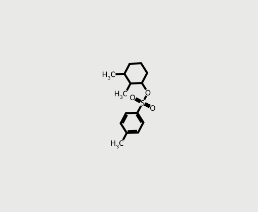 Cc1ccc(S(=O)(=O)OC2CCCC(C)C2C)cc1